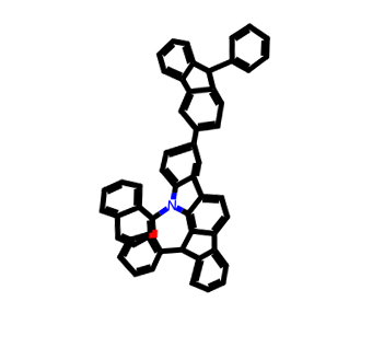 c1ccc(C2c3ccccc3-c3cc(-c4ccc5c(c4)c4ccc6c(c4n5-c4cccc5ccccc45)C(c4ccccc4)c4ccccc4-6)ccc32)cc1